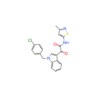 Cc1cc(NC(=O)C(=O)c2cn(Cc3ccc(Cl)cc3)c3ccccc23)sn1